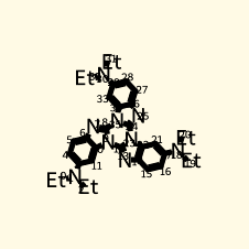 CCN(CC)c1ccc2nc3n(c2c1)c1nc2ccc(N(CC)CC)cc2n1c1nc2ccc(N(CC)CC)cc2n31